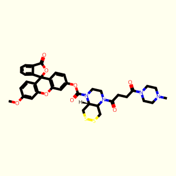 COc1ccc2c(c1)Oc1cc(OC(=O)N3CCN(C(=O)CCC(=O)N4CCN(C)CC4)C4CSSC[C@@H]43)ccc1C21OC(=O)c2ccccc21